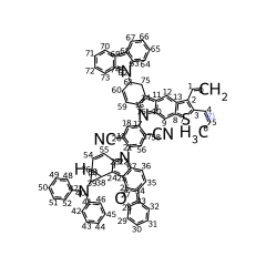 C=Cc1c(/C=C\C)sc2cc3c(cc12)c1c(n3-c2cc(C#N)c(-n3c4c(c5c6oc7ccccc7c6ccc53)C3C(N(c5ccccc5)c5ccccc5)[C@H]3C=C4)cc2C#N)C=CC(n2c3ccccc3c3ccccc32)C1